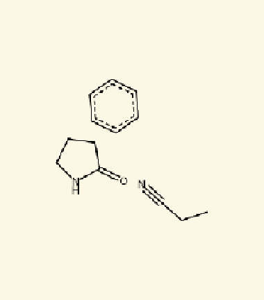 CCC#N.O=C1CCCN1.c1ccccc1